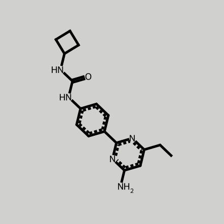 CCc1cc(N)nc(-c2ccc(NC(=O)NC3CCC3)cc2)n1